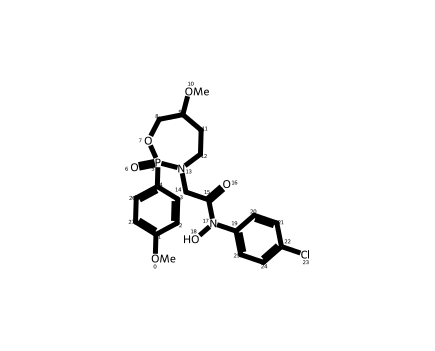 COc1ccc(P2(=O)OCC(OC)CCN2CC(=O)N(O)c2ccc(Cl)cc2)cc1